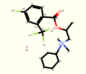 CC(C[N+](C)(C)C1CCCCC1)OC(=O)c1ccc(F)cc1C(F)(F)F.[I-]